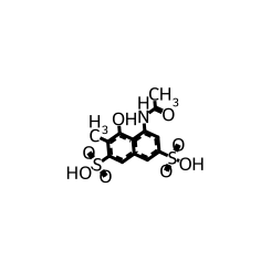 CC(=O)Nc1cc(S(=O)(=O)O)cc2cc(S(=O)(=O)O)c(C)c(O)c12